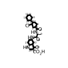 C[C@H](NC(=O)c1ccc(-c2ccccc2)c(Cl)c1)C(=O)Nc1ccc2[nH]cc(C(=O)O)c(=O)c2c1